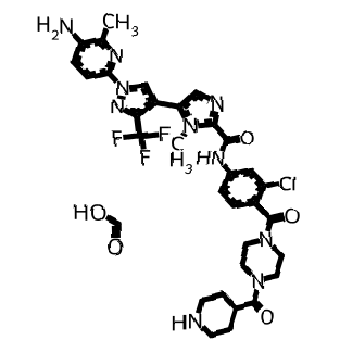 Cc1nc(-n2cc(-c3cnc(C(=O)Nc4ccc(C(=O)N5CCN(C(=O)C6CCNCC6)CC5)c(Cl)c4)n3C)c(C(F)(F)F)n2)ccc1N.O=CO